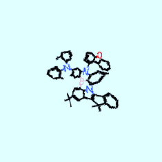 Cc1cc2c3c(c1)N1C4=C(C5C=C(C(C)(C)C)C=C(B3c3ccc(N(c6ccccc6C)c6ccccc6C)cc3N2c2cccc3oc6ccccc6c23)C51)C(C)(C)c1ccccc14